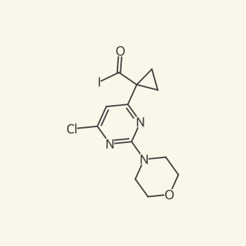 O=C(I)C1(c2cc(Cl)nc(N3CCOCC3)n2)CC1